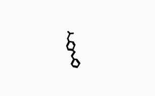 CC(C)Cc1ccc(/C=C/c2ccccc2)cc1